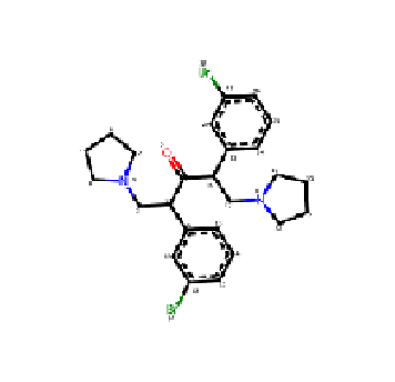 O=C(C(CN1CCCC1)c1cccc(Br)c1)C(CN1CCCC1)c1cccc(Br)c1